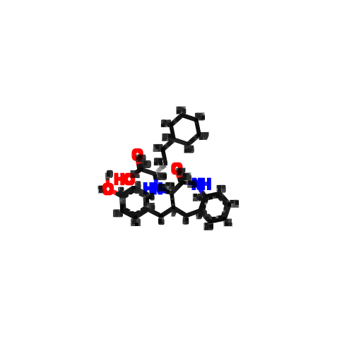 COc1ccc(CC2Cc3ccccc3NC(=O)[C@@H]2N[C@@H](CCC2CCCCC2)C(=O)O)cc1